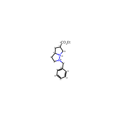 CCOC(=O)C1CC2CCN(Cc3ccccc3)N2C1